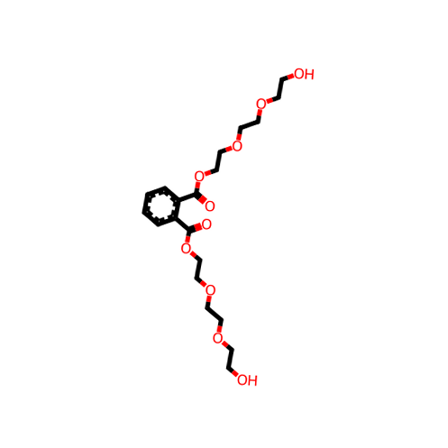 O=C(OCCOCCOCCO)c1ccccc1C(=O)OCCOCCOCCO